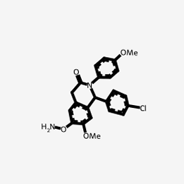 COc1ccc(N2C(=O)Cc3cc(ON)c(OC)cc3C2c2ccc(Cl)cc2)cc1